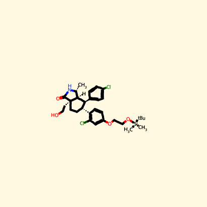 C[C@H]1NC(=O)[C@]2(CCO)CC[C@@H](c3ccc(OCCO[Si](C)(C)C(C)(C)C)cc3Cl)[C@H](c3ccc(Cl)cc3)[C@H]12